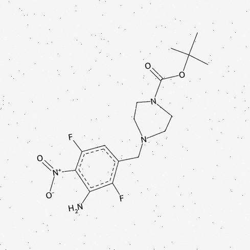 CC(C)(C)OC(=O)N1CCN(Cc2cc(F)c([N+](=O)[O-])c(N)c2F)CC1